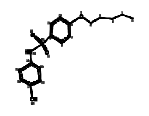 CCCCCOc1ccc(S(=O)(=O)Nc2ccc(O)cc2)cc1